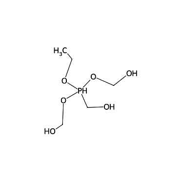 CCO[PH](CO)(OCO)OCO